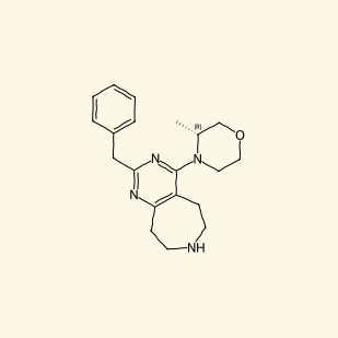 C[C@@H]1COCCN1c1nc(Cc2ccccc2)nc2c1CCNCC2